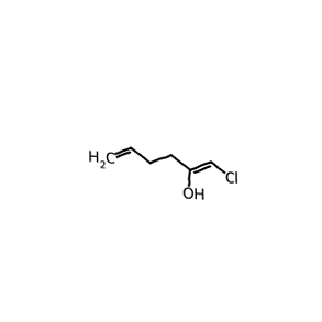 C=CCCC(O)=CCl